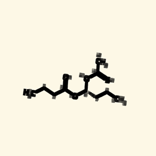 CCCC(=O)O[C@@H](CCC)OC(C)=S